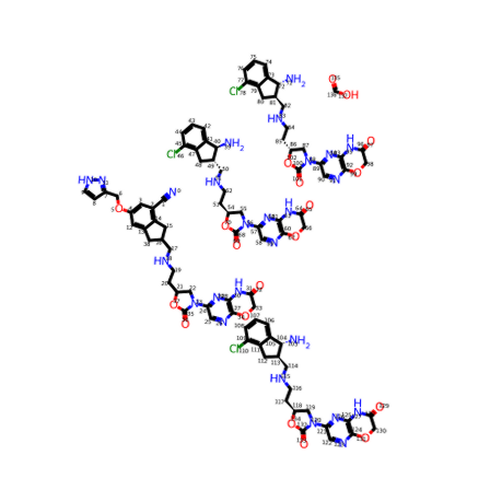 N#Cc1cc(OCc2cc[nH]n2)cc2c1CC(CNCCC1CN(c3cnc4c(n3)NC(=O)CO4)C(=O)O1)C2.N[C@@H]1c2cccc(Cl)c2C[C@H]1CNCC[C@H]1CN(c2cnc3c(n2)NC(=O)CO3)C(=O)O1.N[C@H]1c2cccc(Cl)c2C[C@@H]1CNCC[C@@H]1CN(c2cnc3c(n2)NC(=O)CO3)C(=O)O1.N[C@H]1c2cccc(Cl)c2C[C@@H]1CNCC[C@H]1CN(c2cnc3c(n2)NC(=O)CO3)C(=O)O1.O=CO